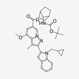 COc1cc(C(=O)C2CC3CCC2[C@@H]3NC(=O)OC(C)(C)C)cn2nc(-c3cc4ccccc4n3CC3CC3)c(C)c12